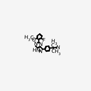 COc1cccc(F)c1-c1ncc2[nH]nc(-c3ccc(C(C)(C)C#N)cc3)c2n1